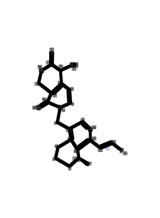 C[C@H]1CCCc2c(Cn3ccc4c(c3=O)COC(=O)C4O)cnc(/C=C/F)c21